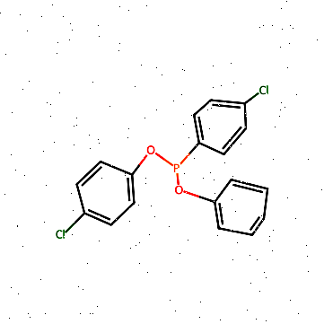 Clc1ccc(OP(Oc2ccccc2)c2ccc(Cl)cc2)cc1